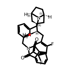 N[C@H](Cc1cc(F)c(F)cc1F)[C@H]1C[C@H]2CC[C@@H](C1)N2Cc1cccc(CN2C(=O)c3ccccc3C2=O)c1